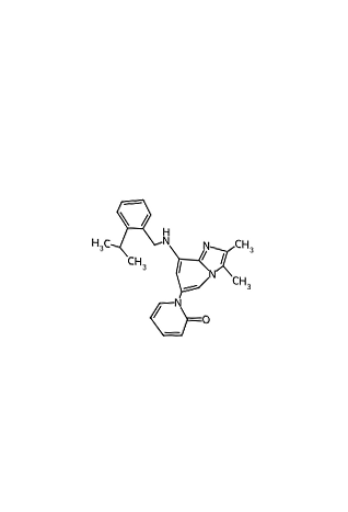 Cc1nc2c(NCc3ccccc3C(C)C)cc(-n3ccccc3=O)cn2c1C